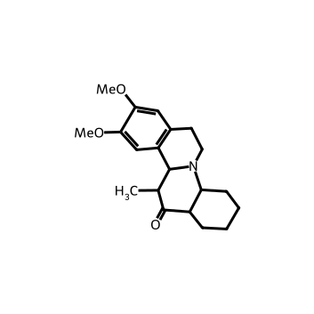 COc1cc2c(cc1OC)C1C(C)C(=O)C3CCCCC3N1CC2